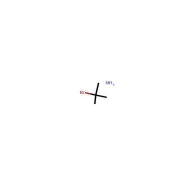 CC(C)(C)Br.N